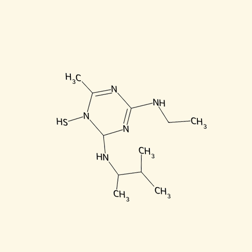 CCNC1=NC(NC(C)C(C)C)N(S)C(C)=N1